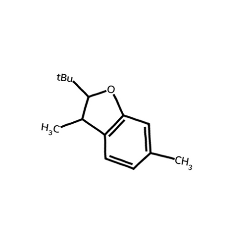 Cc1ccc2c(c1)OC(C(C)(C)C)C2C